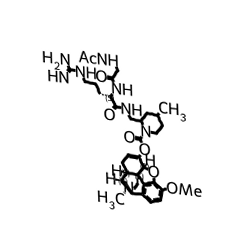 COc1ccc2c3c1O[C@H]1C(OC(=O)N4CCC(C)CC4CNC(=O)[C@H](CCCNC(=N)N)NC(=O)CNC(C)=O)=CC[C@H]4[C@@H](C2)N(C)CC[C@]314